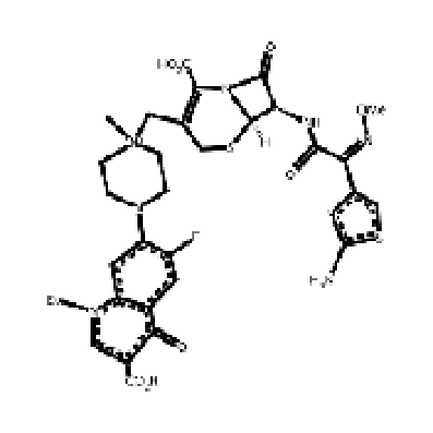 CCn1cc(C(=O)O)c(=O)c2cc(F)c(N3CC[N+](C)(CC4=C(C(=O)O)N5C(=O)[C@@H](NC(=O)/C(=N\OC)c6csc(N)n6)[C@H]5SC4)CC3)cc21